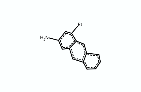 CCc1cc(N)cc2cc3ccccc3cc12